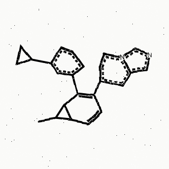 CC1C2C=CC(c3ccn4cncc4c3)=C(c3cccc(C4CC4)c3)C12